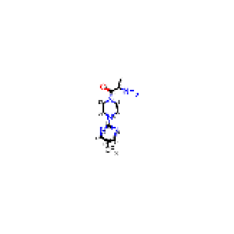 CC(N)C(=O)N1CCN(c2ncc(C(F)(F)F)cn2)CC1